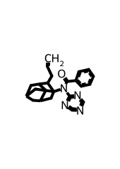 C=CCC1C2CC3CC(C2)CC1(N(C(=O)c1ccccc1)c1ncncn1)C3